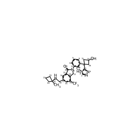 Cn1cnnc1C1(c2cccc(N3Cc4c(cc(CNC5(C)CCC5)cc4C(F)(F)F)C3=O)c2)CC(O)C1